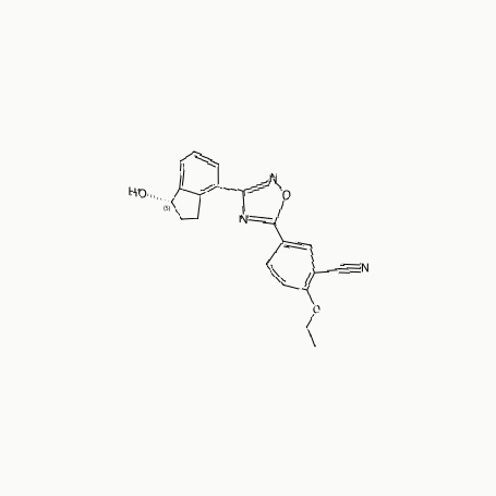 CCOc1ccc(-c2nc(-c3cccc4c3CC[C@@H]4O)no2)cc1C#N